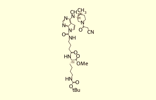 COC(=O)[C@H](CCCCNC(=O)OC(C)(C)C)NC(=O)CCCNC(=O)n1ccc2c(N(C)[C@H]3CN(C(=O)CC#N)CC[C@H]3C)ncnc21